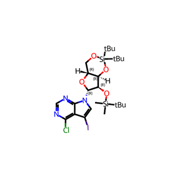 CC(C)(C)[Si](C)(C)O[C@@H]1[C@@H]2O[Si](C(C)(C)C)(C(C)(C)C)OC[C@H]2O[C@H]1n1cc(I)c2c(Cl)ncnc21